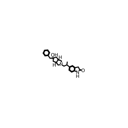 CC(CN1C[C@@H]2C[C@@](O)(Cc3ccccc3)C[C@@H]2C1)c1ccc2c(c1)CC(=O)N2